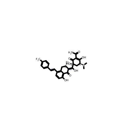 CC[C@H]1Cc2c(/C=C/c3ccc(C(F)(F)F)cc3)ccc(O)c2C(=O)/C1=C(\O)[C@@]1(O)C[C@H](N(C)C)C(O)=C(C(N)=O)C1=O